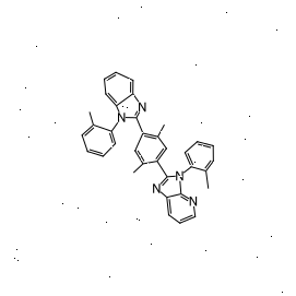 Cc1cc(-c2nc3cccnc3n2-c2ccccc2C)c(C)cc1-c1nc2ccccc2n1-c1ccccc1C